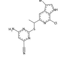 CC(Sc1nc(N)cc(C#N)n1)c1cc2c(Br)c[nH]c2c(Cl)n1